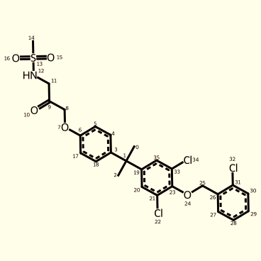 CC(C)(c1ccc(OCC(=O)CNS(C)(=O)=O)cc1)c1cc(Cl)c(OCc2ccccc2Cl)c(Cl)c1